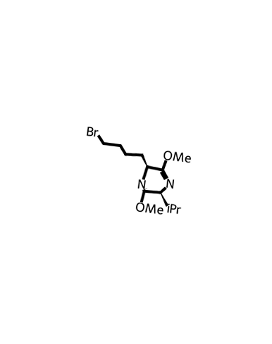 COC1=N[C@@H](C(C)C)C(OC)=N[C@H]1CCCCBr